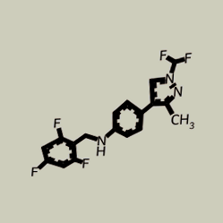 Cc1nn(C(F)F)cc1-c1ccc(NCc2c(F)cc(F)cc2F)cc1